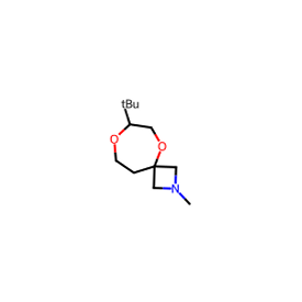 CN1CC2(CCOC(C(C)(C)C)CO2)C1